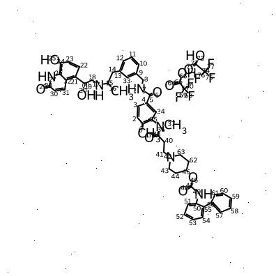 Cc1ccc(C(=O)NCc2cccc(CC(C)NC[C@H](O)c3ccc(O)c4[nH]c(=O)ccc34)c2)cc1N(C)C(=O)CCN1CCC(OC(=O)Nc2ccccc2-c2ccccc2)CC1.O=C(O)C(F)(F)F.O=C(O)C(F)(F)F